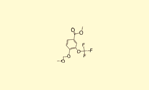 COCOc1ccc(C(=O)OC)cc1OC(F)(F)F